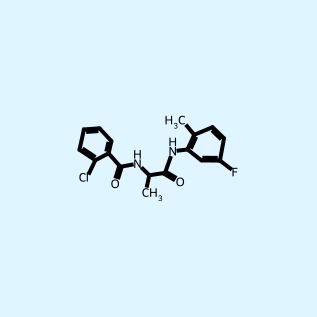 Cc1ccc(F)cc1NC(=O)C(C)NC(=O)c1ccccc1Cl